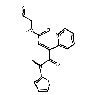 CN(C(=O)C(=CC(=O)NC[C]=O)c1ccccn1)c1ccco1